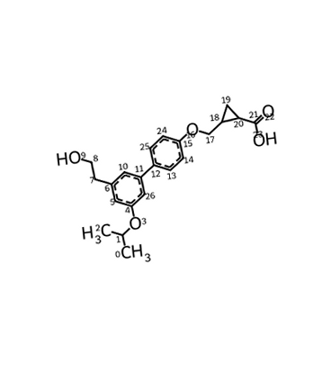 CC(C)Oc1cc(CCO)cc(-c2ccc(OCC3CC3C(=O)O)cc2)c1